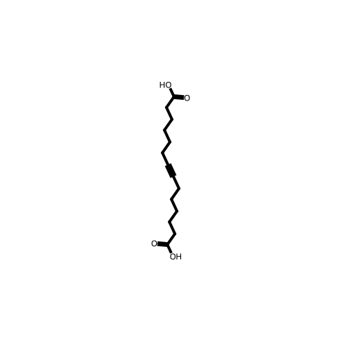 O=C(O)CCCCCC#CCCCCCC(=O)O